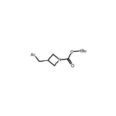 CC(=O)CC1CN(C(=O)OC(C)(C)C)C1